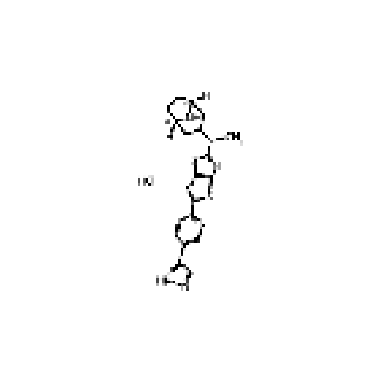 CN(c1nc2sc(-c3ccc(-c4cn[nH]c4)cn3)nc2s1)C1C[C@H]2CC[C@@H](C1)N2.Cl